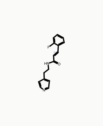 O=C(/C=C/c1ccccc1F)NCCc1ccncc1